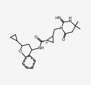 CC1(C)CC(=O)N(CC2C[C@H]2C(=O)NC2CC(C3CC3)Oc3ccccc32)C(=N)N1